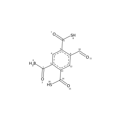 BC(=O)c1cc(C(=O)S)c(C=O)cc1C(=O)S